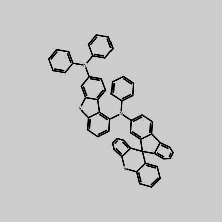 c1ccc(N(c2ccccc2)c2ccc3c(c2)sc2cccc(N(c4ccccc4)c4ccc5c(c4)C4(c6ccccc6Sc6ccccc64)c4ccccc4-5)c23)cc1